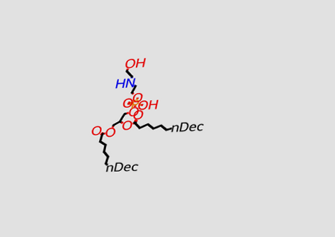 CCCCCCCCCCCCCCCC(=O)OCC(COP(=O)(O)OCCNCCO)OC(=O)CCCCCCCCCCCCCCC